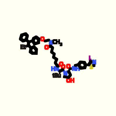 CC/C(=C(\c1ccccc1)c1ccc(OCCN(C)C(=O)CCCCCCC(=O)N[C@H](C(=O)N2C[C@H](O)C[C@H]2C(=O)NCc2ccc(-c3scnc3I)cc2)C(C)(C)C)cc1)c1ccccc1